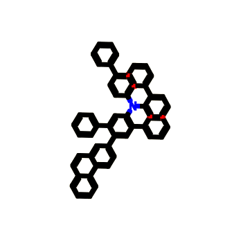 c1ccc(-c2ccc(N(c3ccccc3-c3ccccc3)c3cc(-c4ccccc4)c(-c4ccc5c(ccc6ccccc65)c4)cc3-c3ccccc3)cc2)cc1